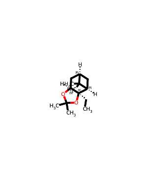 CC[C@]12OC(C)(C)O[C@H]1C[C@H]1C[C@@H]2C1(C)C